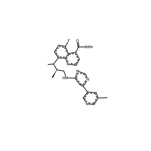 CNC(=O)c1ccnc2c(C(C)[C@H](C)CNc3cc(-c4cncc(C)c4)ncn3)ccc(F)c12